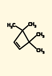 CC1(C)C=CC1(C)C